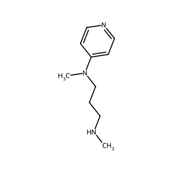 CNCCCN(C)c1ccncc1